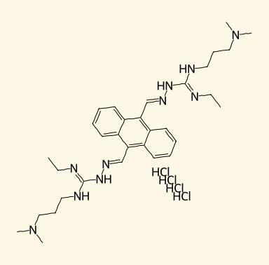 CCN=C(NCCCN(C)C)NN=Cc1c2ccccc2c(C=NNC(=NCC)NCCCN(C)C)c2ccccc12.Cl.Cl.Cl.Cl